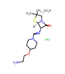 CC1(C)S[C@@H]2[C@H](N=CN3CCC(OCCN)CC3)C(=O)N2[C@H]1C(=O)O.Cl